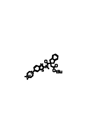 CN(C(=O)C1(CC(=O)OC(C)(C)C)Cc2ccccc2C1)c1nc2ccc(N3CC[N+](C)(C)CC3)cc2s1